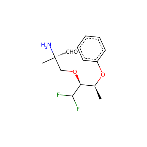 C[C@H](Oc1ccccc1)[C@H](OC[C@@](C)(N)C=O)C(F)F